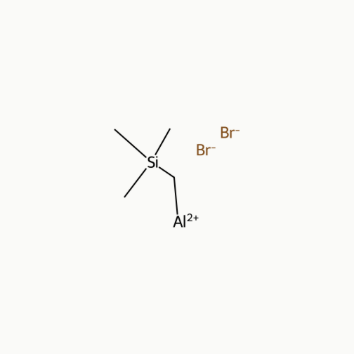 C[Si](C)(C)[CH2][Al+2].[Br-].[Br-]